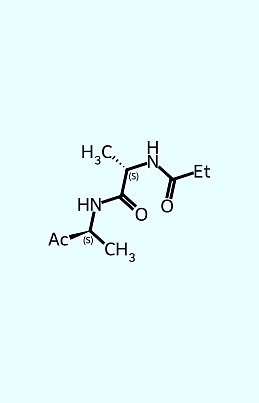 CCC(=O)N[C@@H](C)C(=O)N[C@@H](C)C(C)=O